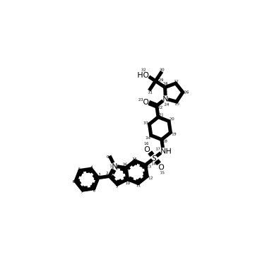 Cn1c(-c2ccccc2)cc2ccc(S(=O)(=O)NC3CCC(C(=O)N4CCCC4C(C)(C)O)CC3)cc21